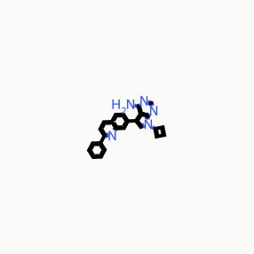 Nc1ncnc2c1c(-c1ccc3ccc(-c4ccccc4)nc3c1)cn2C1=CC=C1